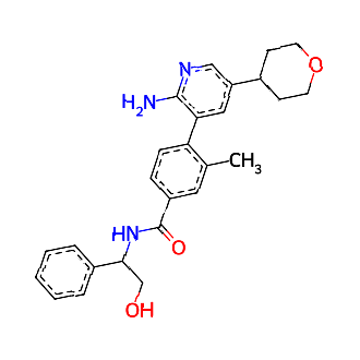 Cc1cc(C(=O)NC(CO)c2ccccc2)ccc1-c1cc(C2CCOCC2)cnc1N